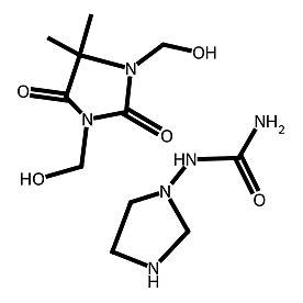 CC1(C)C(=O)N(CO)C(=O)N1CO.NC(=O)NN1CCNC1